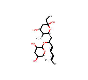 CC(C)/C=C/C=C/C(C[C@@H]1OC(O)(CC(C)C)C[C@H](O)C1C(=O)O)OC1O[C@H](C)C(O)CC1O